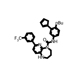 CCCCc1ccc(NC(=O)N2CCCNc3ccc(-c4cccc(C(F)(F)F)c4)nc32)cc1C1=CC=CC1